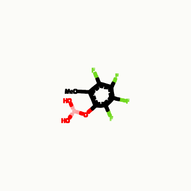 COc1c(F)c(F)c(F)c(F)c1OB(O)O